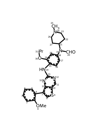 COc1ccccc1-c1csc2cnc(Nc3ccc(N(C=O)C4CCN(C)CC4)cc3OC(C)C)nc12